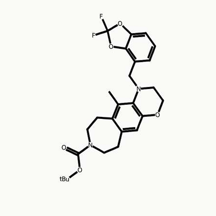 Cc1c2c(cc3c1N(Cc1cccc4c1OC(F)(F)O4)CCO3)CCN(C(=O)OC(C)(C)C)CC2